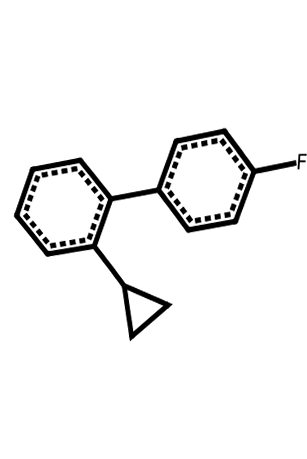 Fc1ccc(-c2ccccc2C2CC2)cc1